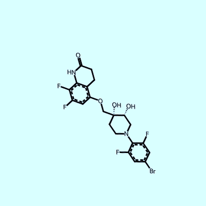 O=C1CCc2c(OC[C@]3(O)CCN(c4c(F)cc(Br)cc4F)C[C@H]3O)cc(F)c(F)c2N1